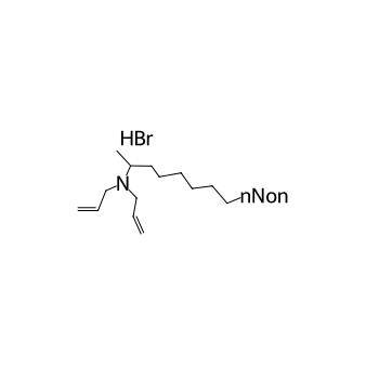 Br.C=CCN(CC=C)C(C)CCCCCCCCCCCCCCC